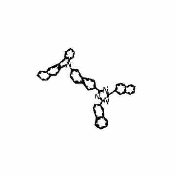 c1ccc2cc(-c3nc(-c4ccc5ccccc5c4)nc(-c4ccc5cc(-n6c7ccccc7c7cc8ccccc8cc76)ccc5c4)n3)ccc2c1